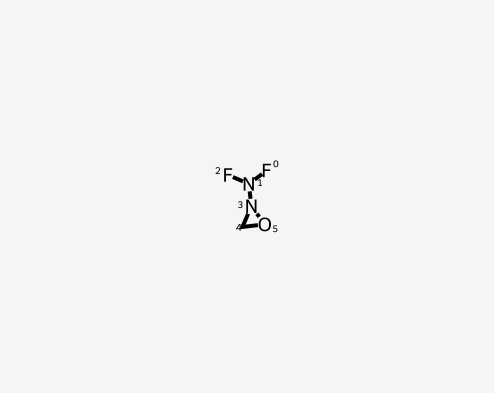 FN(F)N1CO1